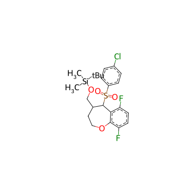 CC(C)(C)[Si](C)(C)OCC1CCOc2c(F)ccc(F)c2C1S(=O)(=O)c1ccc(Cl)cc1